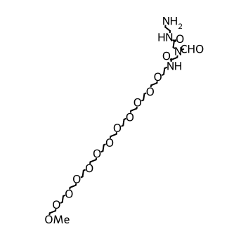 COCCOCCOCCOCCOCCOCCOCCOCCOCCOCCOCCOCCNC(=O)CN(C=O)CC(=O)NCCN